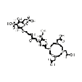 CCNC(=O)[C@@H](CCC(=O)NCCOC1OC(CS(=O)(=O)O)C(O)C(S(=O)(=O)O)[C@@H]1O)NC(=O)CN1CCN(CC(=O)O)CCN(CC(=O)O)CCN(CC(=O)O)CC1